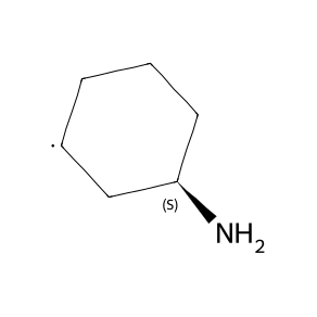 N[C@H]1C[CH]CCC1